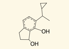 CC(c1ccc2c(c1O)C(O)CC2)C1CC1